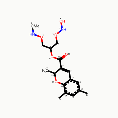 CONOCC(CONO)OC(=O)C1=Cc2cc(C)cc(C)c2OC1C(F)(F)F